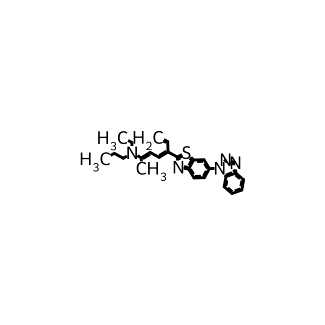 C=C/C(=C\C=C(/C)N(CC)CCC)c1nc2ccc(-n3nnc4ccccc43)cc2s1